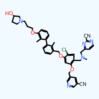 Cc1c(COc2cc(OCc3cncc(C#N)c3)c(CN(C)Cc3ccnc(C#N)n3)cc2Cl)cccc1-c1cccc(OCCCN2CCC(O)C2)c1C